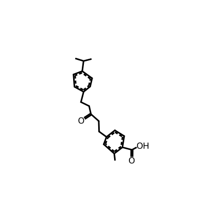 Cc1cc(CCC(=O)CCc2ccc(C(C)C)cc2)ccc1C(=O)O